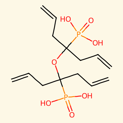 C=CCC(CC=C)(OC(CC=C)(CC=C)P(=O)(O)O)P(=O)(O)O